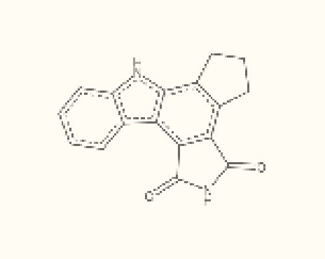 O=C1NC(=O)c2c1c1c(c3[nH]c4ccccc4c23)CCC1